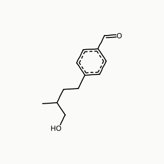 CC(CO)CCc1ccc(C=O)cc1